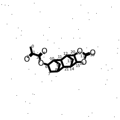 CC(=O)C(=O)OC1CC2CC1C1C3CC(C4OC(=O)OC34)C21